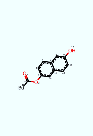 CCC(C)C(=O)Oc1ccc2cc(O)ccc2c1